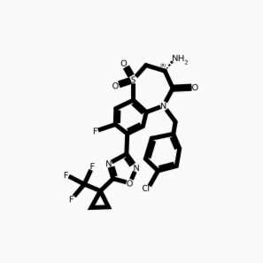 N[C@H]1CS(=O)(=O)c2cc(F)c(-c3noc(C4(C(F)(F)F)CC4)n3)cc2N(Cc2ccc(Cl)cc2)C1=O